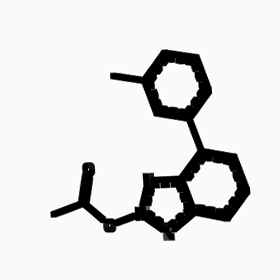 CC(=O)On1nc2cccc(-c3cccc(C)c3)c2n1